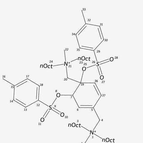 CCCCCCCC[N+](C)(CCCCCCCC)CC1=CC(OS(=O)(=O)c2ccc(C)cc2)C(C[N+](C)(CCCCCCCC)CCCCCCCC)(OS(=O)(=O)c2ccc(C)cc2)C=C1